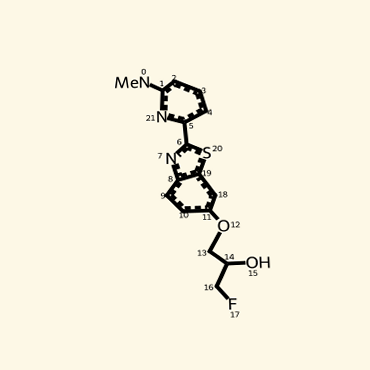 CNc1cccc(-c2nc3ccc(OCC(O)CF)cc3s2)n1